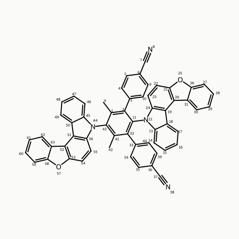 Cc1c(-c2ccc(C#N)cc2)c(-n2c3ccccc3c3c4c(ccc32)oc2ccccc24)c(-c2ccc(C#N)cc2)c(C)c1-n1c2ccccc2c2c3c(ccc21)oc1ccccc13